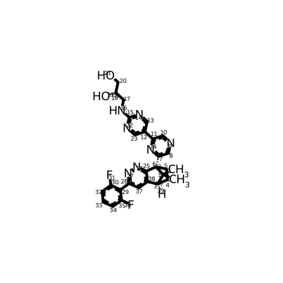 CC1(C)[C@H]2CC[C@]1(c1cncc(-c3cnc(NC[C@H](O)CO)nc3)n1)c1nnc(-c3c(F)cccc3F)cc12